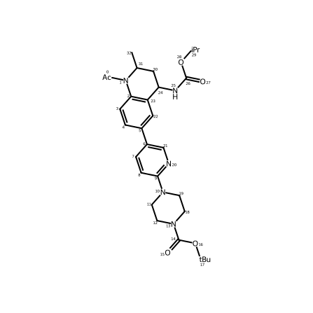 CC(=O)N1c2ccc(-c3ccc(N4CCN(C(=O)OC(C)(C)C)CC4)nc3)cc2C(NC(=O)OC(C)C)CC1C